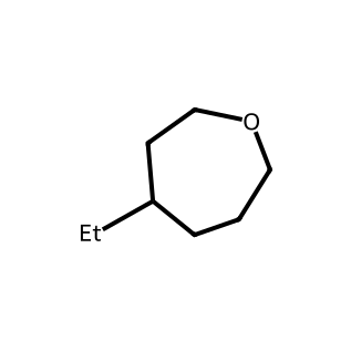 [CH2]CC1CCCOCC1